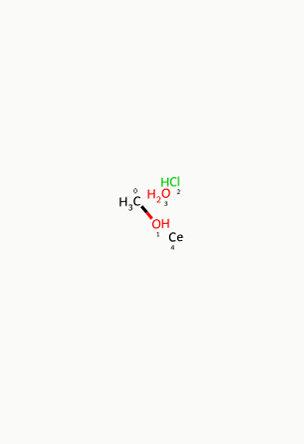 CO.Cl.O.[Ce]